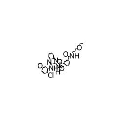 CCOCCCNC(=O)c1cccc(S(=O)(=O)Nc2nc3ccccc3nc2Nc2cc(OC)ccc2Cl)c1